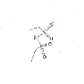 CC[S](=O)(=O)[Zr][S](=O)(=O)CC